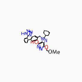 COCOc1nnc(O)c2c1nc(C1CCCCC1)n2Cc1ccc(-c2ccccc2-c2nnn[nH]2)cc1